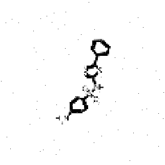 Nc1ccc(S(=O)(=O)Nc2nnc(-c3ccccc3)s2)cc1